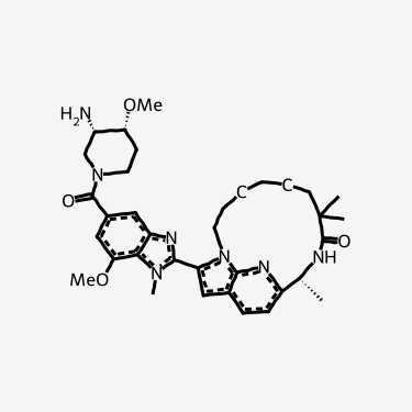 COc1cc(C(=O)N2CC[C@@H](OC)[C@@H](N)C2)cc2nc(-c3cc4ccc5nc4n3CCCCCCC(C)(C)C(=O)N[C@@H]5C)n(C)c12